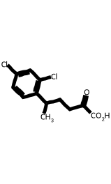 CC(CCC(=O)C(=O)O)c1ccc(Cl)cc1Cl